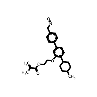 C=C(C)C(=O)OCCOc1cc(-c2ccc(CN=O)cc2)ccc1C1CCC(C)CC1